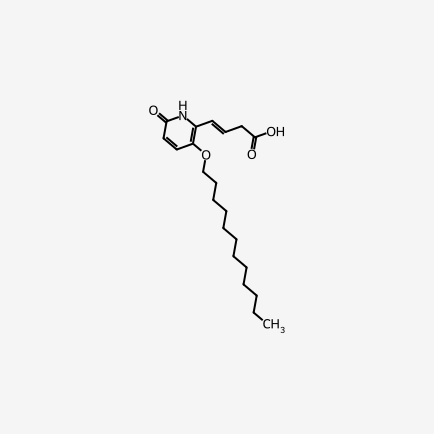 CCCCCCCCCCCCOc1ccc(=O)[nH]c1/C=C/CC(=O)O